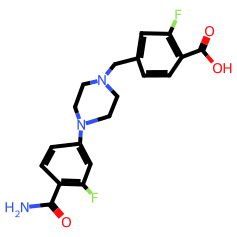 NC(=O)c1ccc(N2CCN(Cc3ccc(C(=O)O)c(F)c3)CC2)cc1F